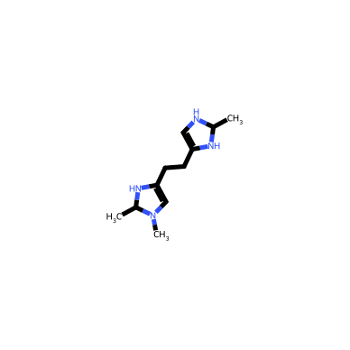 CC1NC=C(CCC2=CN(C)C(C)N2)N1